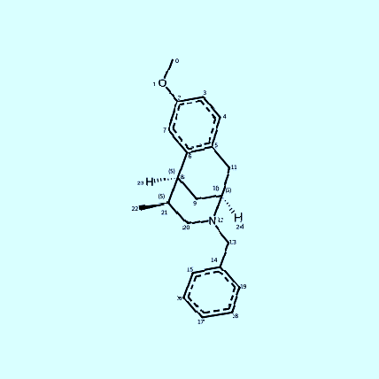 COc1ccc2c(c1)[C@H]1C[C@@H](C2)N(Cc2ccccc2)C[C@H]1C